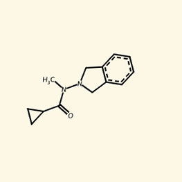 CN(C(=O)C1CC1)N1Cc2ccccc2C1